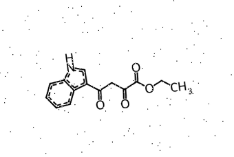 CCOC(=O)C(=O)CC(=O)c1c[nH]c2ccccc12